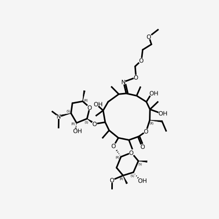 CC[C@H]1OC(=O)C(C)C(O[C@H]2C[C@@](C)(OC)[C@@H](O)[C@H](C)O2)C(C)C(O[C@@H]2O[C@H](C)C[C@H](N(C)C)[C@H]2O)C(C)(O)CC(C)C(=NOCOCCOC)C(C)C(O)C1(C)O